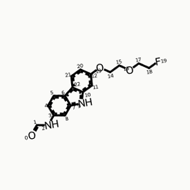 O=CNc1ccc2c(c1)[nH]c1cc(OCCOCCF)ccc12